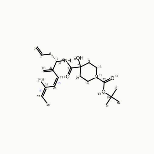 C=CC[C@H](NC(=O)C1(O)CCN(C(=O)OC(C)(C)C)CC1)C(=C)/C=C\C(F)=C/C